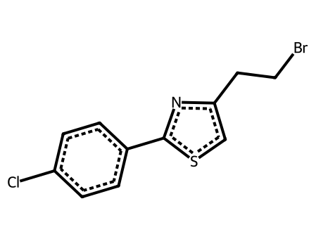 Clc1ccc(-c2nc(CCBr)cs2)cc1